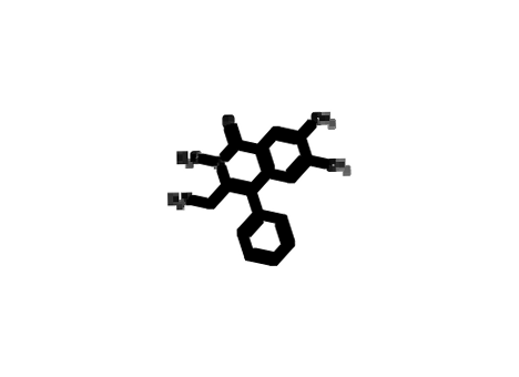 Cc1cc2c(-c3ccccc3)c(CN)n(C)c(=O)c2cc1C